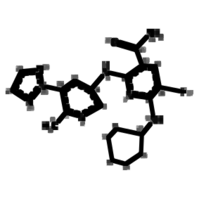 Cc1ncc(Nc2nc(NC3CCCCC3)c(F)cc2C(N)=O)cc1-n1nccn1